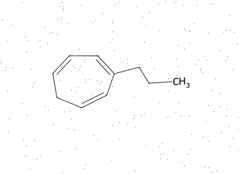 CCCC1=CC=CCC=C1